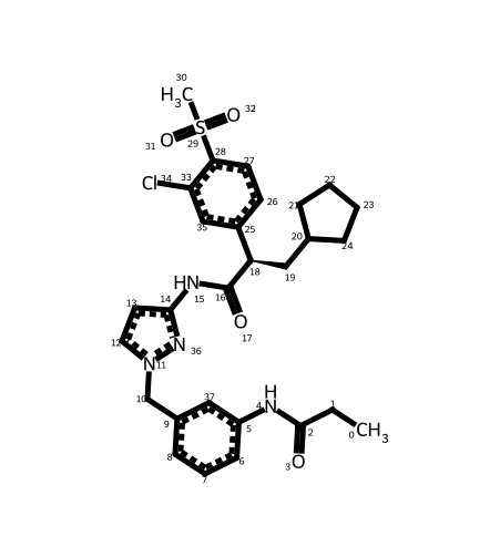 CCC(=O)Nc1cccc(Cn2ccc(NC(=O)[C@H](CC3CCCC3)c3ccc(S(C)(=O)=O)c(Cl)c3)n2)c1